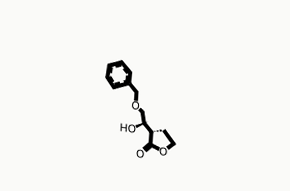 O=C1OCC[C@H]1[C@@H](O)COCc1ccccc1